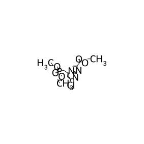 CCOC(=O)c1cn2c(CP(=O)(OCC)OCC)cc(Cl)nc2n1